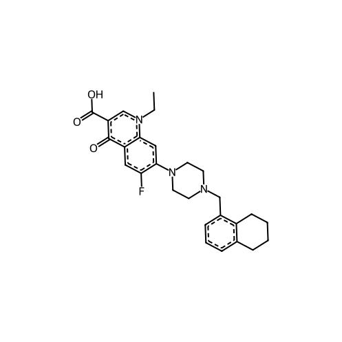 CCn1cc(C(=O)O)c(=O)c2cc(F)c(N3CCN(Cc4cccc5c4CCCC5)CC3)cc21